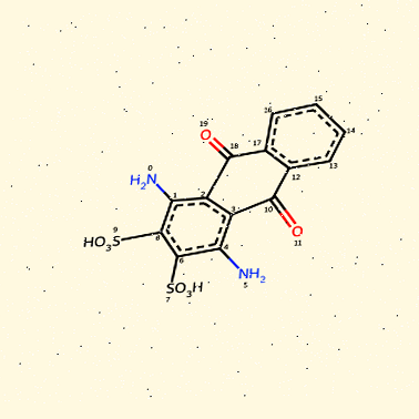 Nc1c2c(c(N)c(S(=O)(=O)O)c1S(=O)(=O)O)C(=O)c1ccccc1C2=O